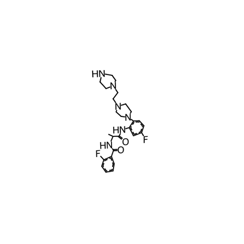 CC(NC(=O)c1ccccc1F)C(=O)Nc1cc(F)ccc1N1CCN(CCN2CCNCC2)CC1